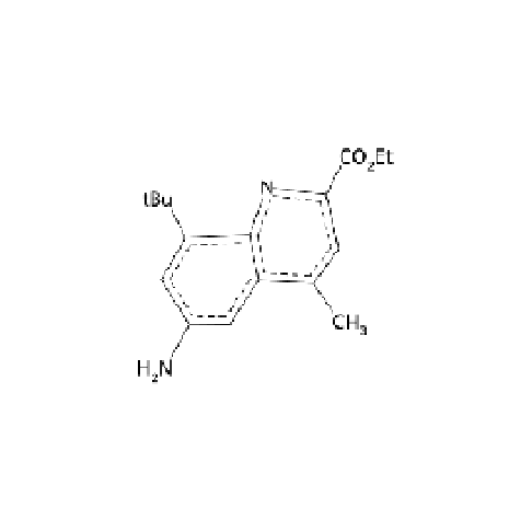 CCOC(=O)c1cc(C)c2cc(N)cc(C(C)(C)C)c2n1